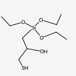 CCO[Si](CC(O)CS)(OCC)OCC